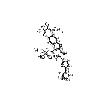 CN1C(=O)C(F)(F)Oc2cc3c(cc21)nc(NC(=O)c1ccc(-c2cn[nH]c2)s1)n3CCC(C)(C)O